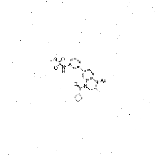 CC(=O)N1c2ccc(-c3cccc(NS(=O)(=O)N(C)C)c3)cc2N(C(=O)C2CCC2)CC1C